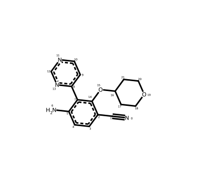 N#Cc1ccc(N)c(-c2ccncn2)c1OC1CCOCC1